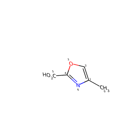 Cc1coc(C(=O)O)n1